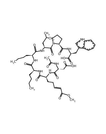 CCCC[C@H](NC(=O)[C@H](CC/C=C/C(=O)OC)NC(=O)[C@@H](CC(=O)O)NC(C)=O)C(=O)N[C@@H](CCCC)C(=O)N[C@@H](CC(C)C)C(=O)N1CCC[C@H]1C(=O)N[C@@H](Cc1c[nH]c2ccccc12)C(=O)O